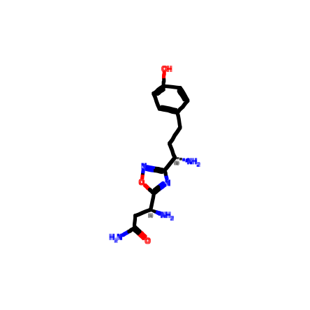 NC(=O)C[C@H](N)c1nc([C@@H](N)CCc2ccc(O)cc2)no1